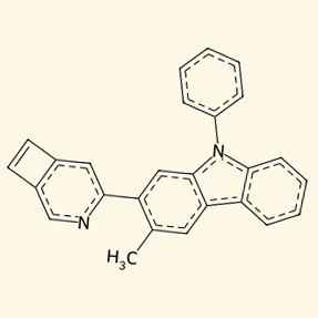 Cc1cc2c3ccccc3n(-c3ccccc3)c2cc1-c1cc2c(cn1)C=C2